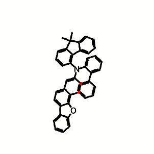 CC1(C)c2ccccc2-c2c(N(c3ccc4c(ccc5c6ccccc6oc45)c3)c3ccccc3-c3ccccc3)cccc21